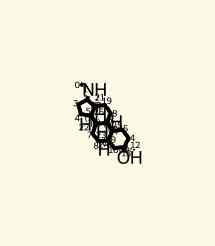 CNC1CC[C@H]2[C@@H]3CC[C@H]4C[C@](C)(O)CC[C@@H]4[C@H]3CC[C@]12C